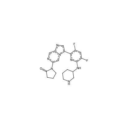 O=C1CCCN1c1cn2c(-c3nc(NC4CCCNC4)c(F)cc3F)cnc2cn1